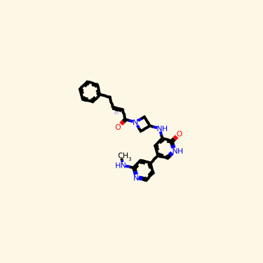 CNc1cc(-c2c[nH]c(=O)c(NC3CN(C(=O)/C=C/Cc4ccccc4)C3)c2)ccn1